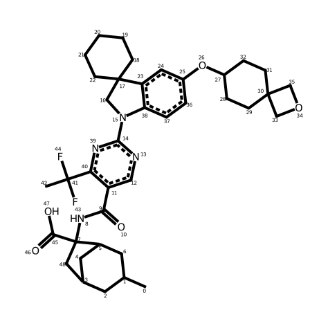 CC1CC2CC(C1)C(NC(=O)c1cnc(N3CC4(CCCCC4)c4cc(OC5CCC6(CC5)COC6)ccc43)nc1C(C)(F)F)(C(=O)O)C2